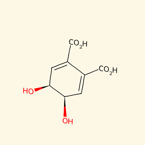 O=C(O)C1=C[C@@H](O)[C@@H](O)C=C1C(=O)O